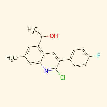 Cc1cc(C(C)O)c2cc(-c3ccc(F)cc3)c(Cl)nc2c1